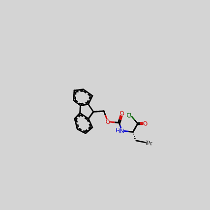 CC(C)C[C@H](NC(=O)OCC1c2ccccc2-c2ccccc21)C(=O)Cl